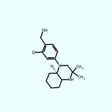 CC1(C)CN(c2ccc(CO)c(Cl)c2)[C@@H]2CCCCC2N1